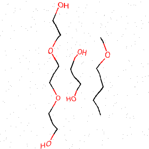 CCCCOC.OCCO.OCCOCCOCCO